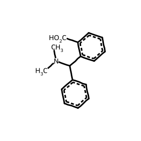 CN(C)C(c1ccccc1)c1ccccc1C(=O)O